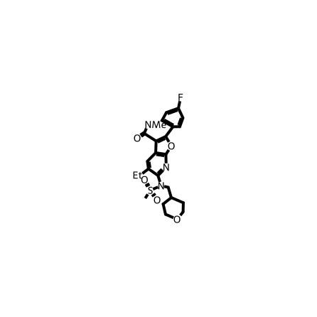 CCc1cc2c(C(=O)NC)c(-c3ccc(F)cc3)oc2nc1N(CC1CCOCC1)S(C)(=O)=O